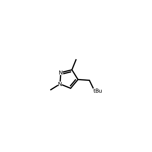 Cc1nn(C)cc1CC(C)(C)C